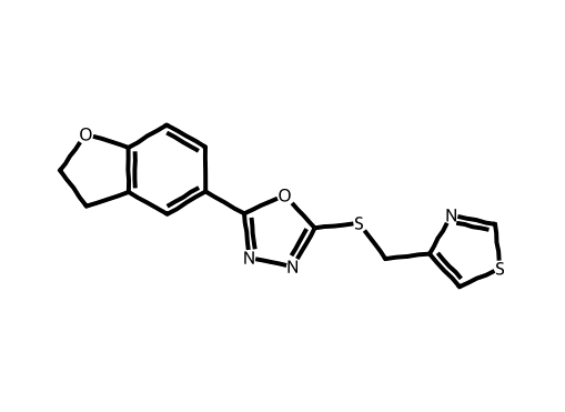 c1nc(CSc2nnc(-c3ccc4c(c3)CCO4)o2)cs1